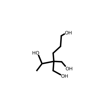 CC(O)C(CO)(CO)CCCO